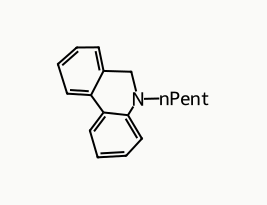 CCCCCN1Cc2ccccc2-c2ccccc21